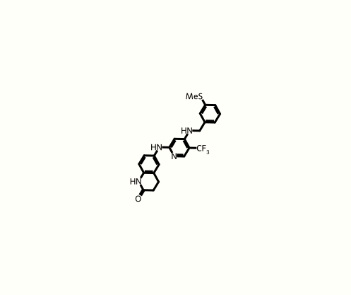 CSc1cccc(CNc2cc(Nc3ccc4c(c3)CCC(=O)N4)ncc2C(F)(F)F)c1